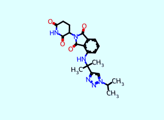 CC(C)n1cc(C(C)(C)Nc2cccc3c2C(=O)N(C2CCC(=O)NC2=O)C3=O)nn1